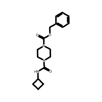 O=C(NC1CCC1)N1CCN(C(=O)OCc2ccccc2)CC1